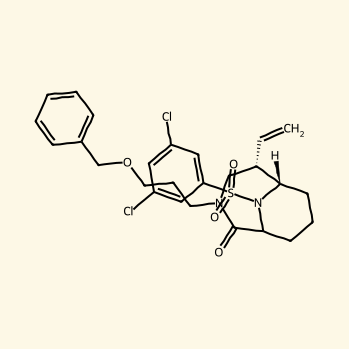 C=C[C@H]1CN(CCCOCc2ccccc2)C(=O)C2CCC[C@@H]1N2S(=O)(=O)c1cc(Cl)cc(Cl)c1